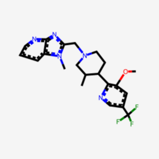 COc1cc(C(F)(F)F)cnc1C1CCN(Cc2nc3ncccc3n2C)CC1C